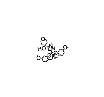 COc1ccc(CN(Cc2ccc(OC)cc2)S(=O)(=O)c2cc(C3(O)CCOCC3)n(C)n2)cc1